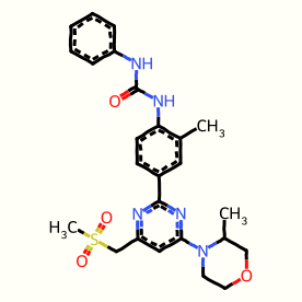 Cc1cc(-c2nc(CS(C)(=O)=O)cc(N3CCOCC3C)n2)ccc1NC(=O)Nc1ccccc1